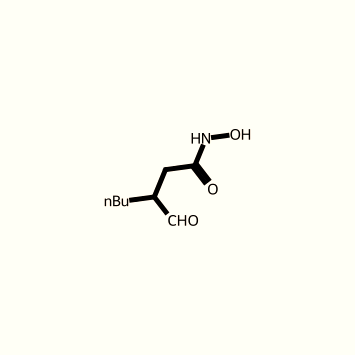 CCCCC(C=O)CC(=O)NO